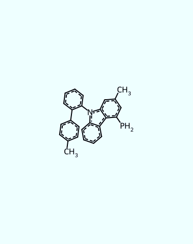 Cc1ccc(-c2ccccc2-n2c3ccccc3c3c(P)cc(C)cc32)cc1